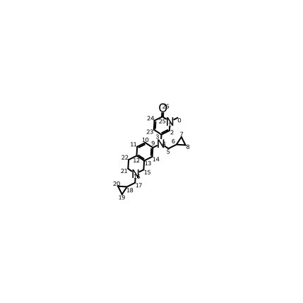 Cn1cc(N(CC2CC2)c2ccc3c(c2)CN(CC2CC2)CC3)ccc1=O